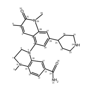 Cc1cc2c(N3CCN(C)c4ccc(C(N)=O)cc43)cc(C3CCNCC3)cc2n(C)c1=O